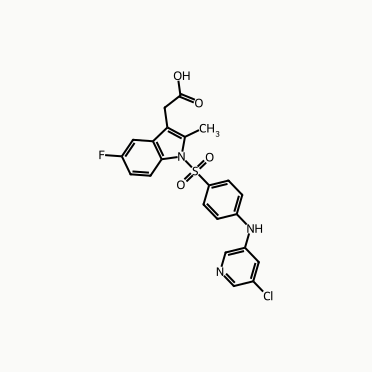 Cc1c(CC(=O)O)c2cc(F)ccc2n1S(=O)(=O)c1ccc(Nc2cncc(Cl)c2)cc1